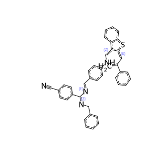 C=C(/C=c1/sc2ccccc2/c1=C/Nc1ccc(/C=N/C(=N\Cc2ccccc2)c2ccc(C#N)cc2)cc1)c1ccccc1